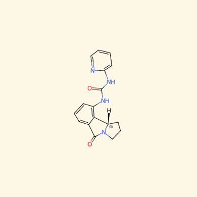 O=C(Nc1ccccn1)Nc1cccc2c1[C@@H]1CCCN1C2=O